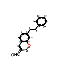 O=CC1=Cc2ccc(CCc3ccccc3)cc2OC1